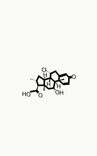 C[C@@H]1C[C@H]2[C@H]3[C@H]([C@@H](O)C[C@]2(C)[C@H]1C(=O)CO)[C@@]1(C)C=CC(=O)C=C1C[C@H]3Cl